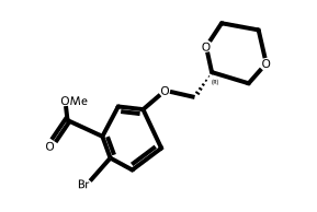 COC(=O)c1cc(OC[C@H]2COCCO2)ccc1Br